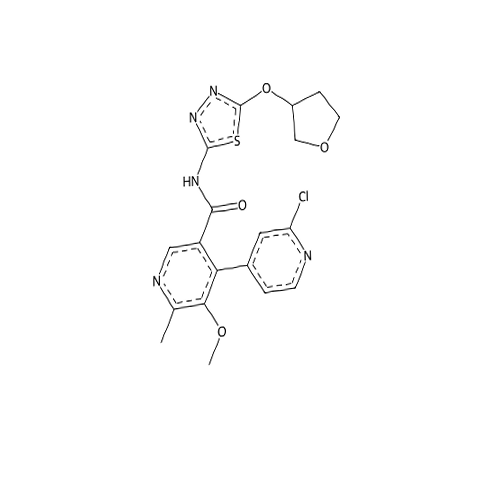 COc1c(C)ncc(C(=O)Nc2nnc(OC3CCOC3)s2)c1-c1ccnc(Cl)c1